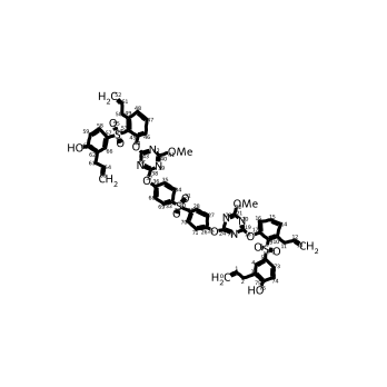 C=CCc1cc(S(=O)(=O)c2c(CC=C)cccc2Oc2nc(OC)nc(Oc3ccc(S(=O)(=O)c4ccc(Oc5nc(OC)nc(Oc6cccc(CC=C)c6S(=O)(=O)c6ccc(O)c(CC=C)c6)n5)cc4)cc3)n2)ccc1O